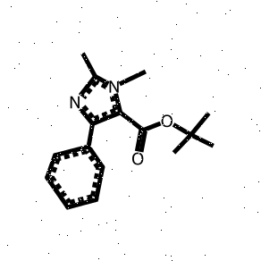 Cc1nc(-c2ccccc2)c(C(=O)OC(C)(C)C)n1C